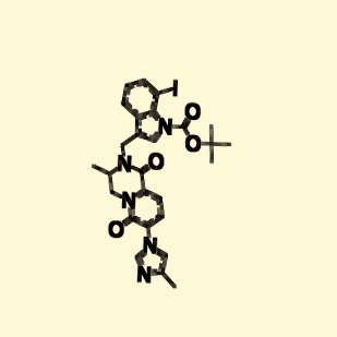 Cc1cn(-c2ccc3n(c2=O)CC(C)N(Cc2cn(C(=O)OC(C)(C)C)c4c(I)cccc24)C3=O)cn1